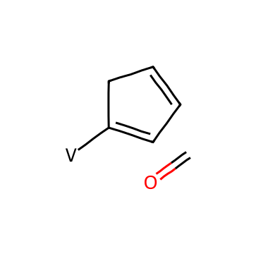 C=O.[V][C]1=CC=CC1